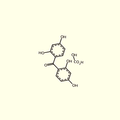 O=C(O)O.O=C(c1ccc(O)cc1O)c1ccc(O)cc1O